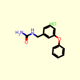 Cl.NC(=O)NCc1cccc(Oc2ccccc2)c1